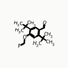 CC(C)(C)c1cc(OCF)c(C(C)(C)C)cc1C=O